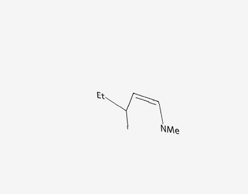 CCC(C)/C=C\NC